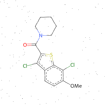 COc1ccc2c(Cl)c(C(=O)N3CCCCC3)sc2c1Cl